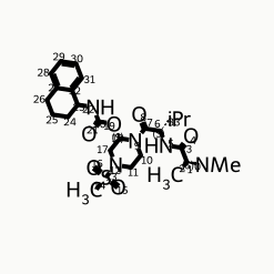 CN[C@@H](C)C(=O)N[C@H](C(=O)N1CCN(S(C)(=O)=O)C[C@@H]1OC(=O)NC1CCCc2ccccc21)C(C)C